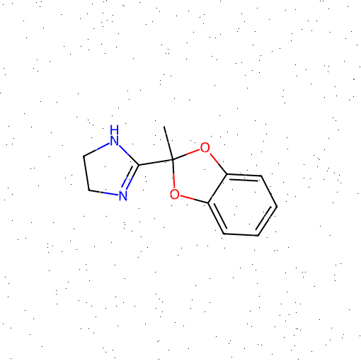 CC1(C2=NCCN2)Oc2ccccc2O1